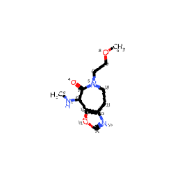 CNC1C(=O)N(CCOC)CCc2ncoc21